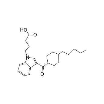 CCCCCC1CCC(C(=O)c2cn(CCCC(=O)O)c3ccccc23)CC1